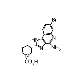 Nc1nc2cc(Br)ccc2c2[nH]c([C@H]3CCCN(C(=O)O)C3)nc12